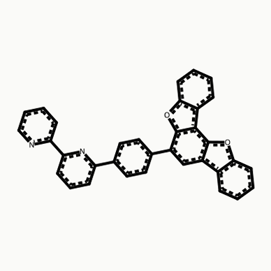 c1ccc(-c2cccc(-c3ccc(-c4cc5c6ccccc6oc5c5c4oc4ccccc45)cc3)n2)nc1